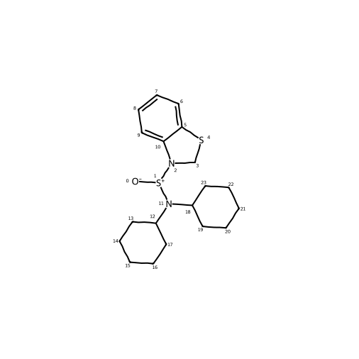 [O-][S+](N1CSc2ccccc21)N(C1CCCCC1)C1CCCCC1